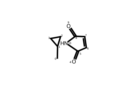 CC1CC1.O=C1C=CC(=O)N1